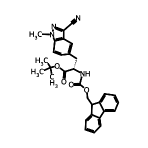 Cn1nc(C#N)c2cc(C[C@H](NC(=O)OCC3c4ccccc4-c4ccccc43)C(=O)OC(C)(C)C)ccc21